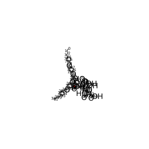 CCCCc1ccc(COc2ccc(OCC(COc3ccc(OCc4ccc(CCCC)cc4)cc3S(=O)(=O)O)Oc3ccc(CC(CN(CCN(CC(=O)O)CC(=O)O)CC(=O)O)N(CC(=O)O)CC(=O)O)cc3)cc2)cc1